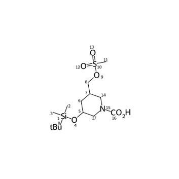 CC(C)(C)[Si](C)(C)OC1CC(COS(C)(=O)=O)CN(C(=O)O)C1